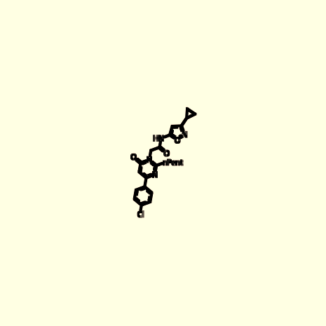 CCCCCc1nc(-c2ccc(Cl)cc2)cc(=O)n1CC(=O)Nc1cc(C2CC2)no1